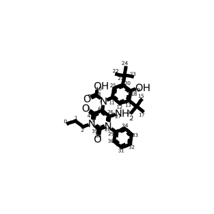 CCCn1c(=O)c(N(C(=O)O)c2cc(C(C)(C)C)c(O)c(C(C)(C)C)c2)c(N)n(-c2ccccc2)c1=O